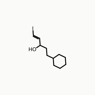 OC(C=CI)CCC1CCCCC1